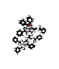 C[C@H](O[C@H](OC(COC(=O)c1ccccc1)[C@@H](C)OC(=O)c1ccccc1)[C@H](COC(=O)c1ccccc1)OC(=O)c1ccccc1)C(COC(=O)c1ccccc1)O[C@@H](OC(=O)c1ccccc1)[C@H](COC(=O)c1ccccc1)OC(=O)c1ccccc1